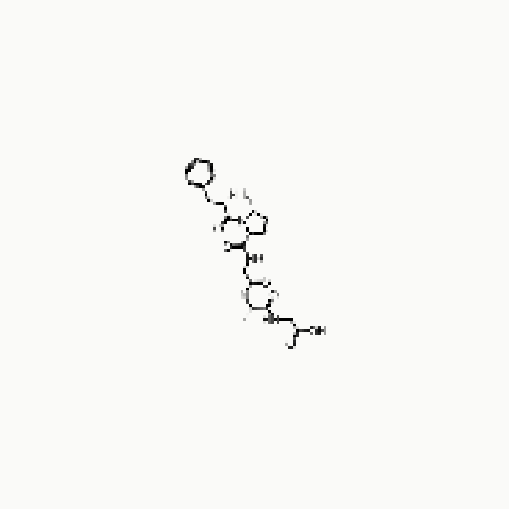 C[C@H](NC(=O)CNC(=O)[C@@H]1CCCN1C(=O)[C@@H](N)Cc1ccccc1)C(=O)NCC(=O)O